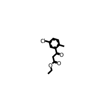 CCOC(=O)CC(=O)c1cc(Cl)ccc1C